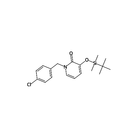 CC(C)(C)[Si](C)(C)Oc1cccn(Cc2ccc(Cl)cc2)c1=O